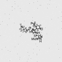 CNc1[nH]ncc1C(=O)Nc1cn(CC(=O)N2CCC3(CCN(C)C3)C2)nc1-c1cc(Cl)ccc1OC(F)F